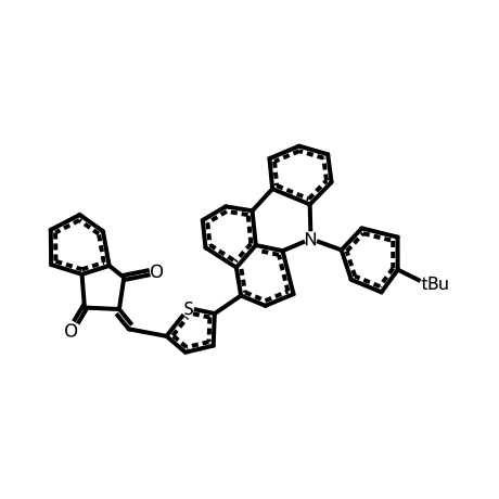 CC(C)(C)c1ccc(N2c3ccccc3-c3cccc4c(-c5ccc(C=C6C(=O)c7ccccc7C6=O)s5)ccc2c34)cc1